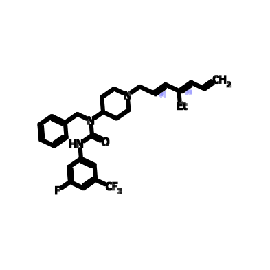 C=C/C=C(/C=C/CN1CCC(N(Cc2ccccc2)C(=O)Nc2cc(F)cc(C(F)(F)F)c2)CC1)CC